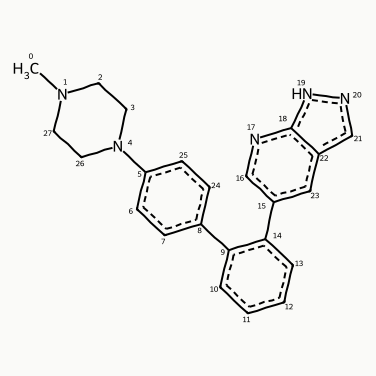 CN1CCN(c2ccc(-c3ccccc3-c3cnc4[nH]ncc4c3)cc2)CC1